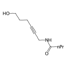 CCCC(=O)NCC#CCCCO